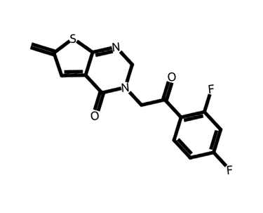 C=c1cc2c(s1)=NCN(CC(=O)c1ccc(F)cc1F)C2=O